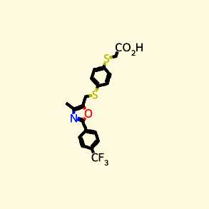 Cc1nc(-c2ccc(C(F)(F)F)cc2)oc1CSc1ccc(SCC(=O)O)cc1